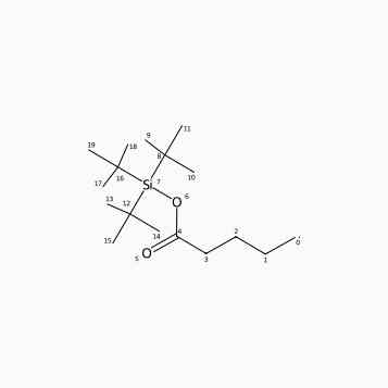 [CH2]CCCC(=O)O[Si](C(C)(C)C)(C(C)(C)C)C(C)(C)C